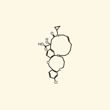 O=C1C[C@@](O)(C(=O)O)c2ccc3c(c2)N(CCCC/C=C/CN1C1CC1)CCCCc1cc(Cl)ccc1CO3